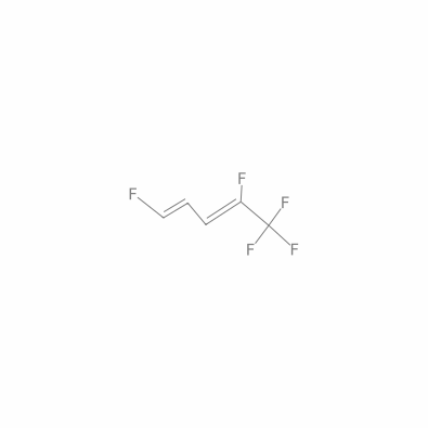 FC=CC=C(F)C(F)(F)F